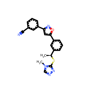 C[C@H](Sc1nncn1C)c1cccc(-c2cc(-c3cccc(C#N)c3)no2)c1